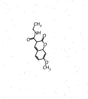 CCNC(=O)C1C=C2C=CC(OC)=CC2OC1=O